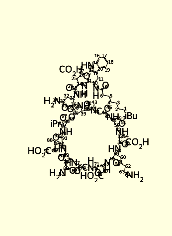 CCC(C)CCCCCCC(=O)NC(Cc1c[nH]c2ccccc12)C(=O)NC(CCC(=O)O)C(=O)NC(CC(N)=O)C(=O)NC1C(=O)N(C)CC(=O)NC(C)C(=O)NC(CC(=O)O)C(=O)NC(CCCCN)C(=O)NC(CC(=O)O)C(=O)NCC(=O)NC(CC(N)=O)C(=O)NC(C(C)CC(=O)O)C(=O)NC(C(C)C)C(=O)OC1C